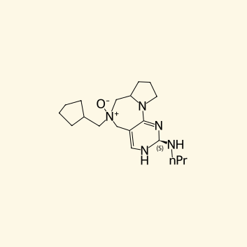 CCCN[C@@H]1N=C2C(=CN1)C[N+]([O-])(CC1CCCC1)CC1CCCN21